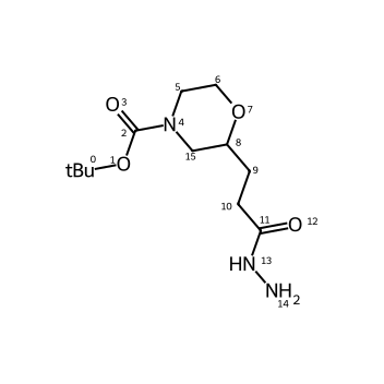 CC(C)(C)OC(=O)N1CCOC(CCC(=O)NN)C1